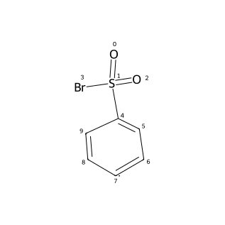 O=S(=O)(Br)c1cc[c]cc1